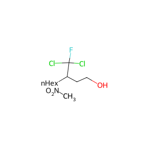 CCCCCCC(CCO)C(F)(Cl)Cl.C[N+](=O)[O-]